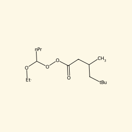 C[CH]OC(CCC)OOC(=O)CC(C)CC(C)(C)C